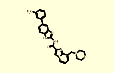 O=C(Nc1nc2cc(-c3cccc(C(F)(F)F)c3)ccc2[nH]1)c1cn2cccc(CN3CCOCC3)c2n1